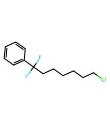 FC(F)(CCCCCCCl)c1ccccc1